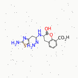 NN=C(Cc1csc(N)n1)NC1Cc2cccc(C(=O)O)c2OB1O